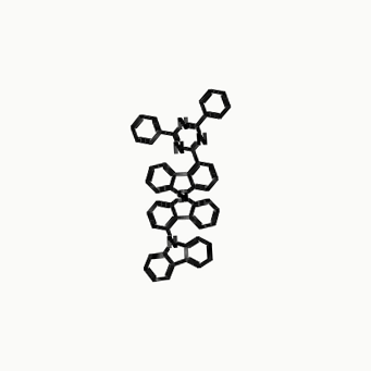 c1ccc(-c2nc(-c3ccccc3)nc(-c3cccc4c3-c3ccccc3[Si]43c4ccccc4-c4c(-n5c6ccccc6c6ccccc65)cccc43)n2)cc1